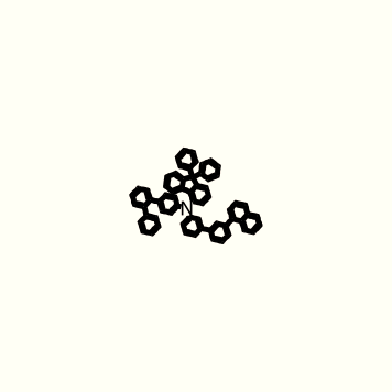 c1ccc(-c2ccccc2-c2ccc(N(c3cccc(-c4cccc(-c5cccc6ccccc56)c4)c3)c3cccc4c3-c3ccccc3C4(c3ccccc3)c3ccccc3)cc2)cc1